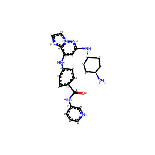 N[C@H]1CC[C@H](Nc2cc(Nc3ccc(C(=O)Nc4cccnc4)cc3)c3nccn3n2)CC1